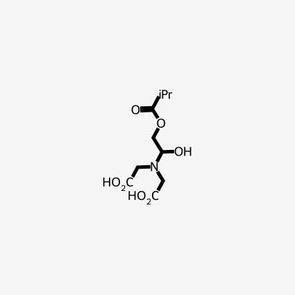 CC(C)C(=O)OCC(O)N(CC(=O)O)CC(=O)O